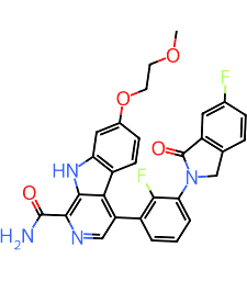 COCCOc1ccc2c(c1)[nH]c1c(C(N)=O)ncc(-c3cccc(N4Cc5ccc(F)cc5C4=O)c3F)c12